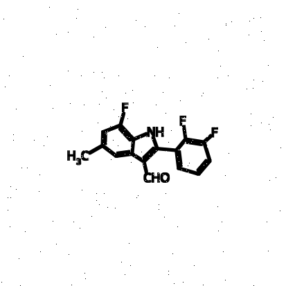 Cc1cc(F)c2[nH]c(-c3cccc(F)c3F)c(C=O)c2c1